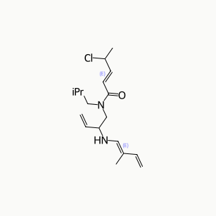 C=C/C(C)=C/NC(C=C)CN(CC(C)C)C(=O)/C=C/C(C)Cl